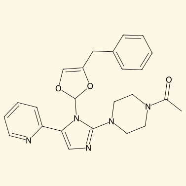 CC(=O)N1CCN(c2ncc(-c3ccccn3)n2C2OC=C(Cc3ccccc3)O2)CC1